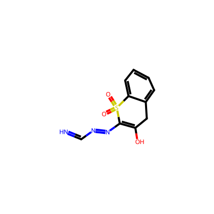 N=CN=NC1=C(O)Cc2ccccc2S1(=O)=O